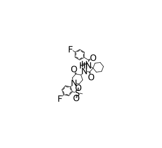 CS(=O)(=O)c1cc(F)ccc1N1CCC(NC(=O)C2(NC(=O)c3ccc(F)cc3)CCCCC2)C(=O)C1